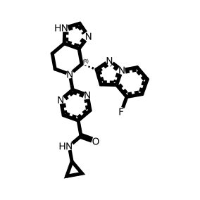 O=C(NC1CC1)c1cnc(N2CCc3[nH]cnc3[C@@H]2c2cc3c(F)cccn3n2)nc1